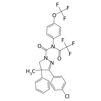 CC1(c2ccccc2)CN(C(=O)N(C(=O)C(F)(F)F)c2ccc(OC(F)(F)F)cc2)N=C1c1ccc(Cl)cc1